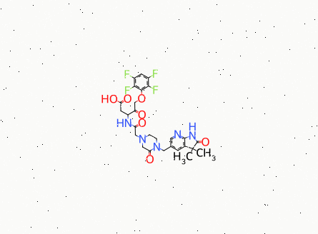 CC1(C)C(=O)Nc2ncc(CN3CCN(CC(=O)NC(CC(=O)O)C(=O)COc4c(F)c(F)cc(F)c4F)CC3=O)cc21